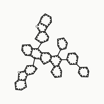 c1ccc(-c2cccc(-c3c(-c4ccccc4)c4cc5c(-c6ccc7c(c6)oc6ccccc67)c6ccccc6c(-c6ccc7c(c6)oc6ccccc67)c5cc4c4ccccc34)c2)cc1